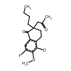 CCCCC1(CC(C)=O)CCc2c(cc(F)c(OC)c2Cl)C1=O